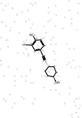 CCC[C@H]1CC[C@H](C#Cc2ccc(C#N)c(F)c2)CC1